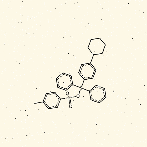 Cc1ccc(S(=O)(=O)OS(c2ccccc2)(c2ccccc2)c2ccc(C3CCCCC3)cc2)cc1